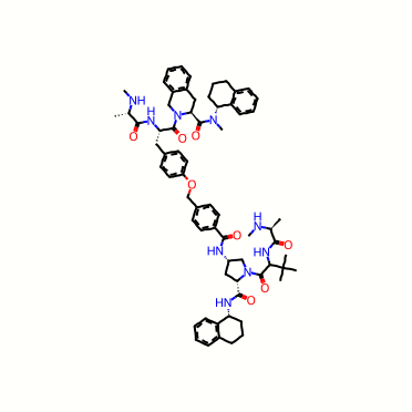 CN[C@@H](C)C(=O)NC(C(=O)N1C[C@@H](NC(=O)c2ccc(COc3ccc(C[C@H](NC(=O)[C@H](C)NC)C(=O)N4Cc5ccccc5C[C@H]4C(=O)N(C)[C@@H]4CCCc5ccccc54)cc3)cc2)C[C@H]1C(=O)N[C@@H]1CCCc2ccccc21)C(C)(C)C